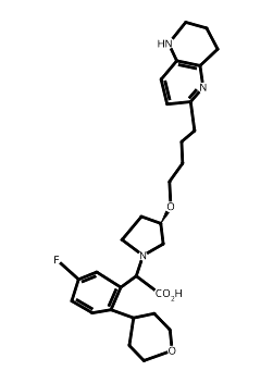 O=C(O)C(c1cc(F)ccc1C1CCOCC1)N1CC[C@@H](OCCCCc2ccc3c(n2)CCCN3)C1